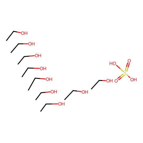 CCO.CCO.CCO.CCO.CCO.CCO.CCO.CCO.CCO.O=S(=O)(O)O